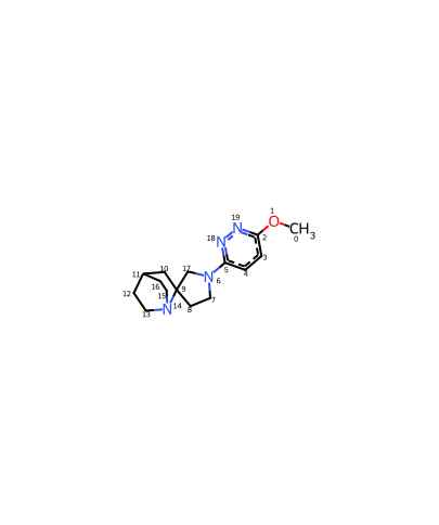 COc1ccc(N2CCC3(CC4CCN3CC4)C2)nn1